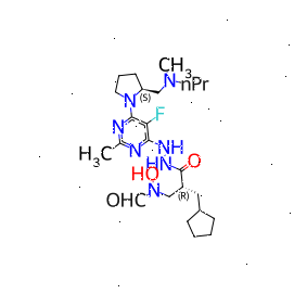 CCCN(C)C[C@@H]1CCCN1c1nc(C)nc(NNC(=O)[C@H](CC2CCCC2)CN(O)C=O)c1F